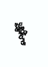 O=C(Nc1c(Cl)cncc1Cl)c1nn(-c2cccc(Sc3cccnc3)c2)c2ncccc2c1=O